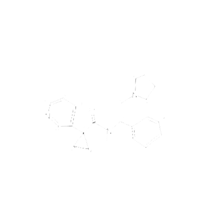 O=C(N[C@H](CN1CCCC1)c1ccccc1)C1(c2cccnc2)CC1